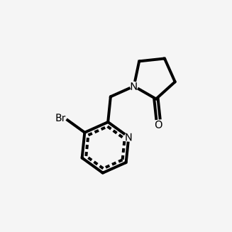 O=C1CCCN1Cc1ncccc1Br